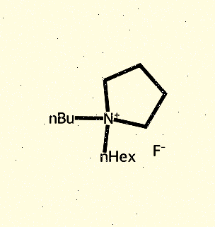 CCCCCC[N+]1(CCCC)CCCC1.[F-]